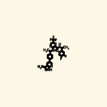 CC(NC(=O)c1nc(C(F)(F)F)cnc1NC(C)c1ccc(-c2cnc3[nH]nc(N)c3c2)cc1)c1ccc(F)c(F)c1